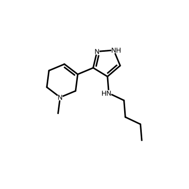 CCCCNc1c[nH]nc1C1=CCCN(C)C1